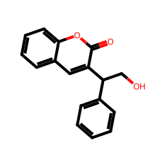 O=c1oc2ccccc2cc1C(CO)c1ccccc1